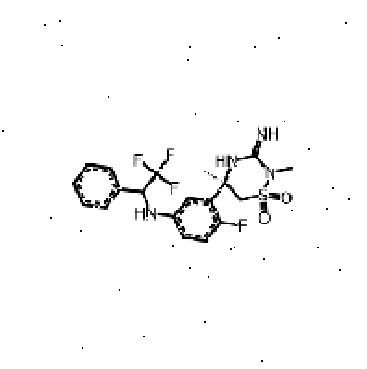 CN1C(=N)N[C@](C)(c2cc(NC(c3ccccc3)C(F)(F)F)ccc2F)CS1(=O)=O